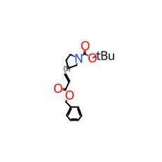 CC(C)(C)OC(=O)N1CC[C@@H](C=CC(=O)OCc2ccccc2)C1